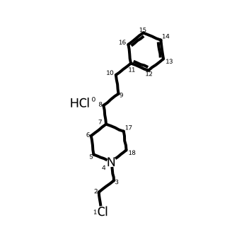 Cl.ClCCN1CCC(CCCc2ccccc2)CC1